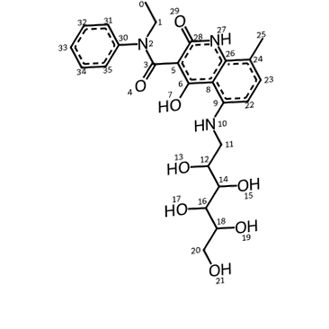 CCN(C(=O)c1c(O)c2c(NCC(O)C(O)C(O)C(O)CO)ccc(C)c2[nH]c1=O)c1ccccc1